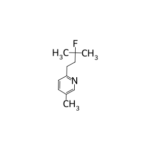 Cc1ccc(CCC(C)(C)F)nc1